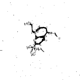 Cl.NC1CCN(CCO)c2nc(P(=O)(O)O)ccc21